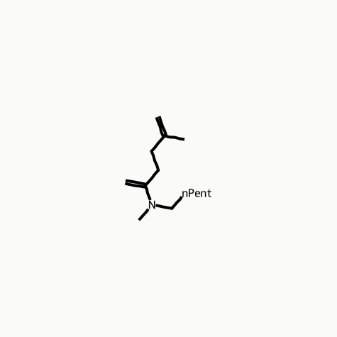 C=C(C)CCC(=C)N(C)CCCCCC